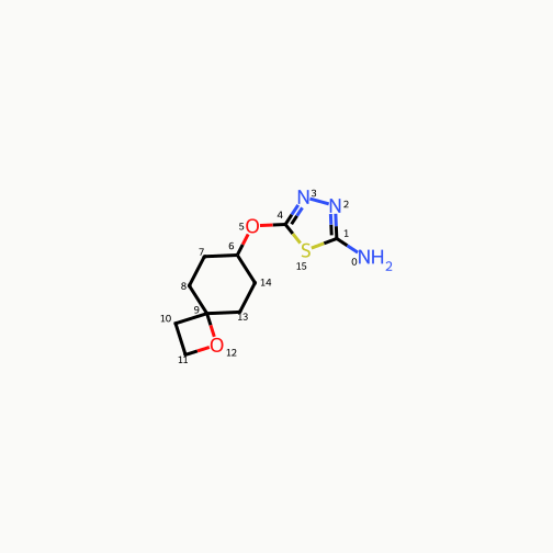 Nc1nnc(OC2CCC3(CCO3)CC2)s1